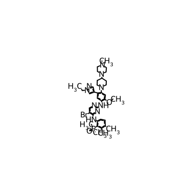 CCn1cc(-c2cc(Nc3ncc(Br)c(Nc4ccc(C)c(C)c4P(C)(C)=O)n3)c(OC)cc2N2CCC(N3CCN(C)CC3)CC2)cn1